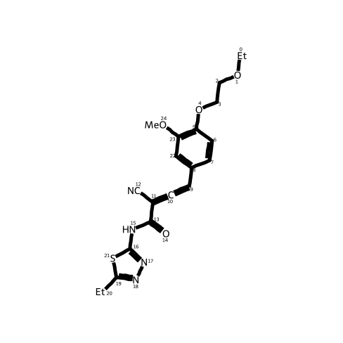 CCOCCOc1ccc(C=C=C(C#N)C(=O)Nc2nnc(CC)s2)cc1OC